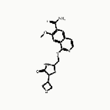 COc1cc2c(OCC3C[C@@H](C4COC4)C(=O)N3)nccc2cc1C(N)=O